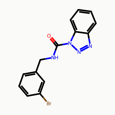 O=C(NCc1cccc(Br)c1)n1nnc2ccccc21